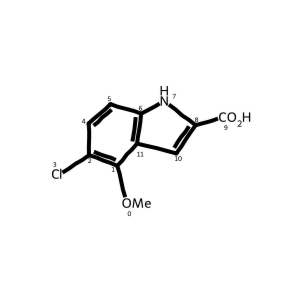 COc1c(Cl)ccc2[nH]c(C(=O)O)cc12